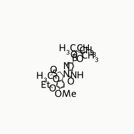 CCOc1cc(C(CS(C)(=O)=O)n2c(=O)[nH]c3cc(B4OC(C)(C)C(C)(C)O4)cnc32)ccc1OC